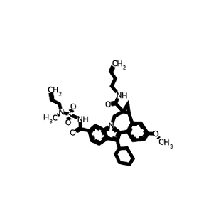 C=CCCNC(=O)C12CC1c1cc(OC)ccc1-c1c(C3CCCCC3)c3ccc(C(=O)NS(=O)(=O)N(C)CC=C)cc3n1C2